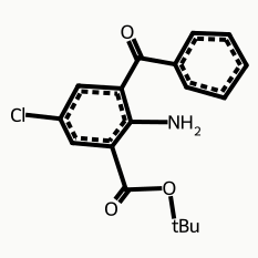 CC(C)(C)OC(=O)c1cc(Cl)cc(C(=O)c2ccccc2)c1N